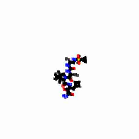 CC(C)[C@@H](CNS(=O)(=O)C1CC1)NC(=O)N[C@H](C(=O)N1C[C@H]2[C@@H]([C@H]1C(=O)NC(CC1CCC1)C(=O)C(N)=O)C2(C)C)C(C)(C)C